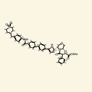 COC(=O)N[C@H](C(=O)N1CCOC[C@H]1c1ncc(-c2ccc(-c3ccc(C(=O)Nc4ccc(CN5CCS(=O)(=O)CC5)cc4)cc3)cc2)[nH]1)c1ccccc1